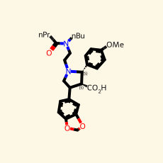 CCCCN(CCN1CC(c2ccc3c(c2)OCO3)[C@H](C(=O)O)[C@H]1c1ccc(OC)cc1)C(=O)CCC